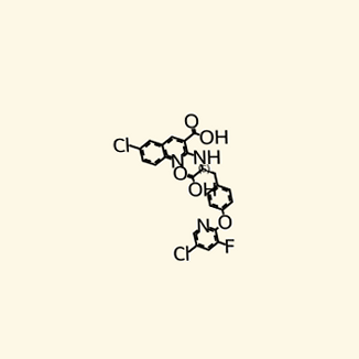 O=C(O)c1cc2cc(Cl)ccc2nc1N[C@@H](Cc1ccc(Oc2ncc(Cl)cc2F)cc1)C(=O)O